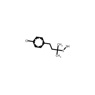 CC(C)(CCc1ccc(Cl)cc1)SS